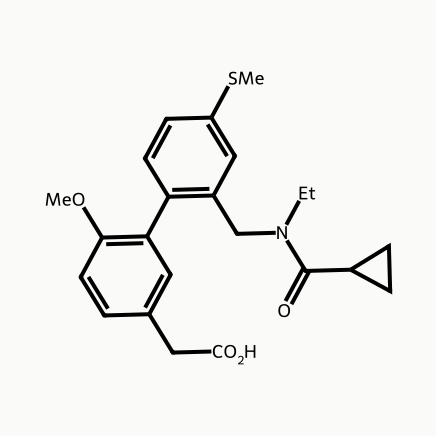 CCN(Cc1cc(SC)ccc1-c1cc(CC(=O)O)ccc1OC)C(=O)C1CC1